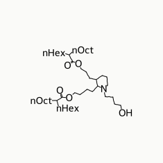 CCCCCCCCC(CCCCCC)C(=O)OCCCCC1C(CCCOC(=O)C(CCCCCC)CCCCCCCC)CCCN1CCCCO